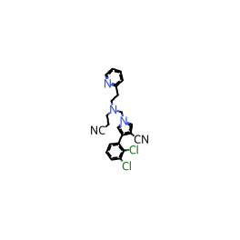 N#CCCN(CCc1ccccn1)Cn1cc(C#N)c(-c2cccc(Cl)c2Cl)c1